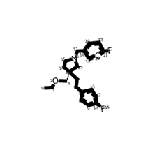 CCOC[C@]1(CCc2ccc(F)cc2)CCN(Cc2ccc(F)cc2)C1